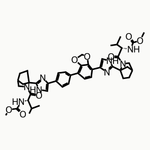 COC(=O)N[C@H](C(=O)N1CC2CCC1(c1nc(-c3ccc(-c4ccc(-c5c[nH]c(C67CCC(CN6C(=O)[C@@H](NC(=O)OC)C(C)C)C7)n5)c5c4OCO5)cc3)c[nH]1)C2)C(C)C